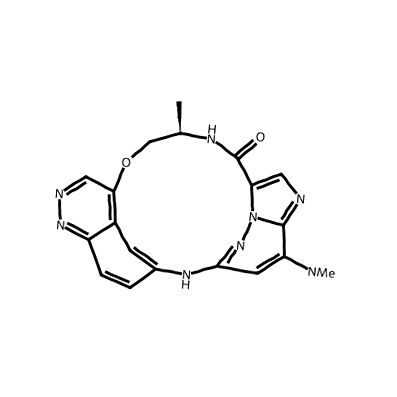 CNc1cc2nn3c(cnc13)C(=O)N[C@H](C)COc1cnnc3ccc(cc13)N2